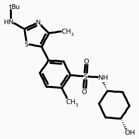 Cc1ccc(-c2sc(NC(C)(C)C)nc2C)cc1S(=O)(=O)N[C@H]1CC[C@@H](O)CC1